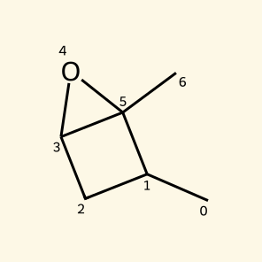 CC1CC2OC12C